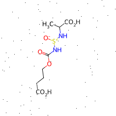 CC(N[S+]([O-])NC(=O)OCCCC(=O)O)C(=O)O